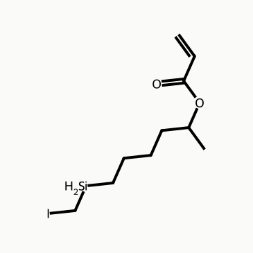 C=CC(=O)OC(C)CCCC[SiH2]CI